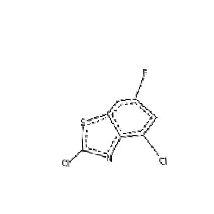 Fc1cc(Cl)c2nc(Cl)sc2c1